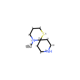 CC(C)(C)N1CCCSC12CCNCC2